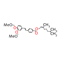 C=C(C)CCCC(C)=CCOC(=O)c1ccc(C=Cc2ccc(OCOC)c(OCOC)c2)cc1